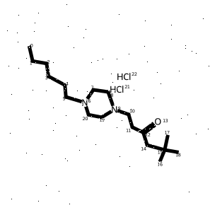 CCCCCCN1CCN(CCC(=O)CC(C)(C)C)CC1.Cl.Cl